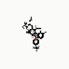 CCC[C@@H]1C[C@@H]2[C@@H](CC[C@@]3(S(=O)(=O)c4ccc(C(F)(F)F)cc4)c4c(F)ccc(F)c4OC[C@@H]23)NS1(=O)=O